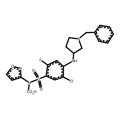 O=C(O)N(c1ccon1)S(=O)(=O)c1cc(Cl)c(NC2CCN(Cc3ccccc3)C2)cc1F